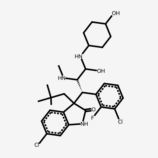 CNC(C(O)NC1CCC(O)CC1)[C@H](c1cccc(Cl)c1F)C1(CC(C)(C)C)C(=O)Nc2cc(Cl)ccc21